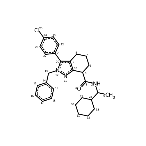 CC(NC(=O)C1CCCc2c1nn(Cc1ccccc1)c2-c1ccc(Cl)cc1)C1CCCCC1